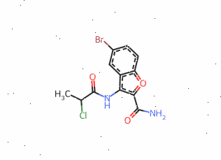 CC(Cl)C(=O)Nc1c(C(N)=O)oc2ccc(Br)cc12